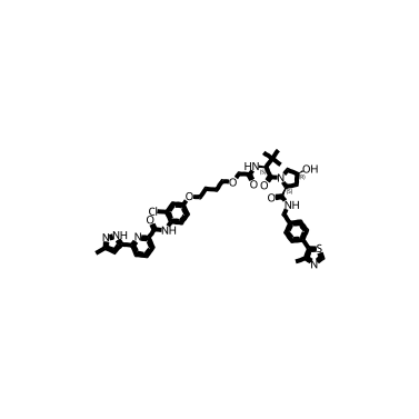 Cc1cc(-c2cccc(C(=O)Nc3ccc(OCCCCOCC(=O)N[C@H](C(=O)N4C[C@H](O)C[C@H]4C(=O)NCc4ccc(-c5scnc5C)cc4)C(C)(C)C)cc3Cl)n2)[nH]n1